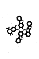 Cc1cc2c(cc1N1c3cc4c(cc3B3c5c1cc1c(oc6ccccc61)c5-c1cccc5c6sc7ccccc7c6n3c15)sc1ccccc14)C(C)(C)CCC2(C)C